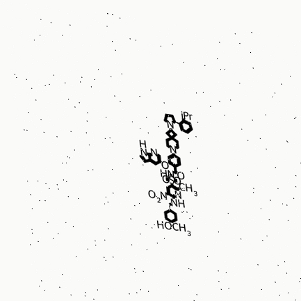 Cc1nc(NC[C@H]2CC[C@](C)(O)CC2)c([N+](=O)[O-])cc1S(=O)(=O)NC(=O)c1ccc(N2CCC3(CC2)CC(N2CCC[C@H]2c2ccccc2C(C)C)C3)cc1Oc1cnc2[nH]ccc2c1